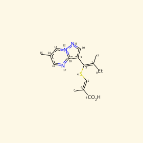 CC/C(C)=C(\S/C=C(\C)C(=O)O)c1cnn2cc(C)cnc12